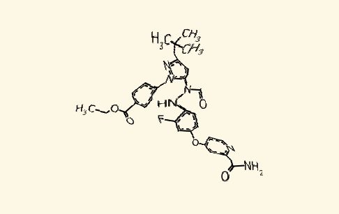 CCOC(=O)c1ccc(-n2nc(C(C)(C)C)cc2N(C=O)Nc2ccc(Oc3ccnc(C(N)=O)c3)cc2F)cc1